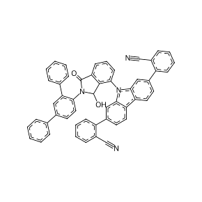 N#Cc1ccccc1-c1ccc2c3ccc(-c4ccccc4C#N)cc3n(-c3cccc4c3C(O)N(c3ccc(-c5ccccc5)cc3-c3ccccc3)C4=O)c2c1